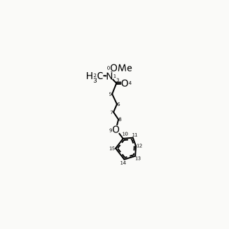 CON(C)C(=O)CCCCOc1ccccc1